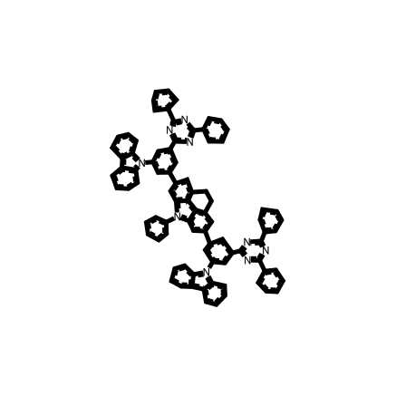 c1ccc(-c2nc(-c3ccccc3)nc(-c3cc(-c4cc5c6c7c(cc(-c8cc(-c9nc(-c%10ccccc%10)nc(-c%10ccccc%10)n9)cc(-n9c%10ccccc%10c%10ccccc%109)c8)cc7n(-c7ccccc7)c6c4)CC5)cc(-n4c5ccccc5c5ccccc54)c3)n2)cc1